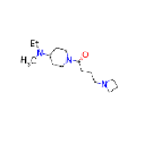 CCN(C)C1CCN(C(=O)CCCN2CCC2)CC1